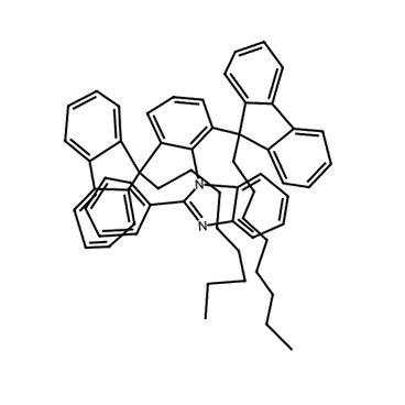 CCCCCCCCC1(c2cccc(C3(CCCCCCCC)c4ccccc4-c4ccccc43)c2-n2c(-c3ccccc3)nc3ccccc32)c2ccccc2-c2ccccc21